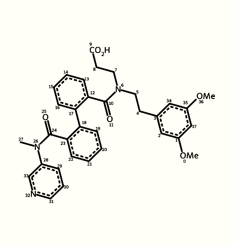 COc1cc(CCN(CCC(=O)O)C(=O)c2ccccc2-c2ccccc2C(=O)N(C)c2cccnc2)cc(OC)c1